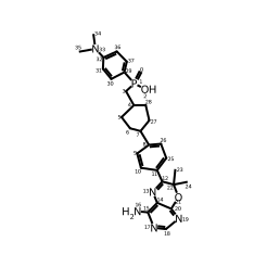 C=P(O)(CC1CCC(c2ccc(C3=Nc4c(N)ncnc4OC3(C)C)cc2)CC1)c1ccc(N(C)C)cc1